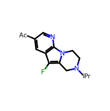 CC(=O)c1cnc2c(c1)c(F)c1n2CCN(C(C)C)C1